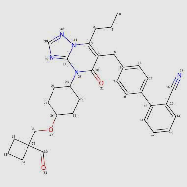 CCCc1c(Cc2ccc(-c3ccccc3C#N)cc2)c(=O)n(C2CCC(OCC3(C=O)CCC3)CC2)c2ncnn12